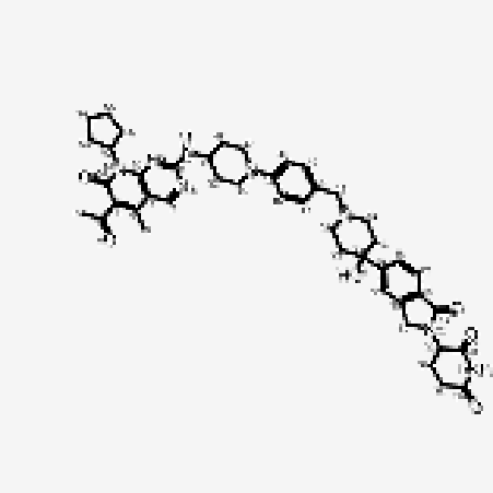 CC(=O)c1c(C)c2cnc(NC3CCN(c4ccc(CN5CCC(O)(c6ccc7c(c6)CN(C6CCC(=O)NC6=O)C7=O)CC5)cc4)CC3)nc2n(C2CCCC2)c1=O